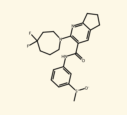 C[S+]([O-])c1cccc(NC(=O)c2cc3c(nc2N2CCCC(F)(F)CC2)CCC3)c1